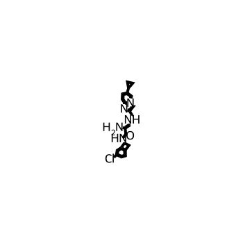 N/C(=C\NCc1cn2cc(C3CC3)ccc2n1)C(=O)NC1Cc2ccc(Cl)cc21